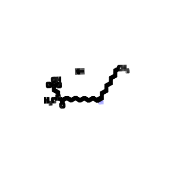 CCCCCCCC/C=C\CCCCCCCC(=O)N(C)CCS(=O)(=O)O.[KH]